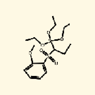 CCO[Si](OCC)(OCC)C(CC)S(=O)(=O)c1ccccc1OC